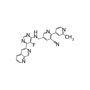 Cc1cc(-c2ncc(CNc3ncnc(-c4cc5cccnc5cn4)c3F)cc2C#N)ccn1